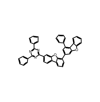 c1ccc(-c2nc(-c3ccccc3)nc(-c3ccc4c(c3)oc3c(-c5cc(-c6ccccc6)c6c(c5)oc5ccccc56)cccc34)n2)cc1